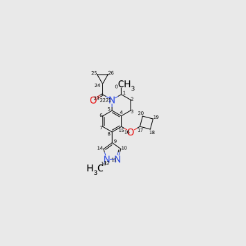 CC1CCc2c(ccc(-c3cnn(C)c3)c2OC2CCC2)N1C(=O)C1CC1